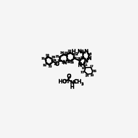 CNC(=O)O.Nc1ncnn2c(C3CCCCC3)nc(-c3ccc4ccc(Oc5ccccc5)nc4c3)c12